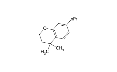 CCCc1ccc2c(c1)OCCC2(C)C